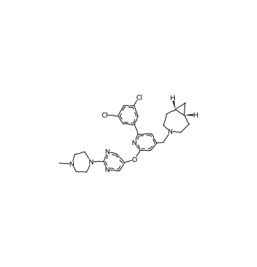 CN1CCN(c2ncc(Oc3cc(CN4CC[C@@H]5C[C@@H]5CC4)cc(-c4cc(Cl)cc(Cl)c4)n3)cn2)CC1